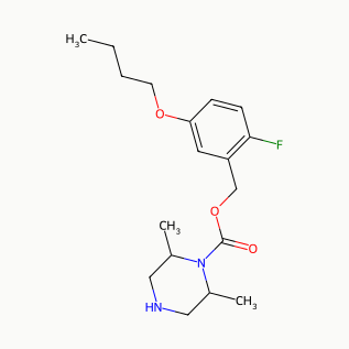 CCCCOc1ccc(F)c(COC(=O)N2C(C)CNCC2C)c1